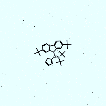 CC(C)(C)c1ccc2c(c1)[CH]([Zr]([C]1=CC=CC1)=[Si](C(C)(C)C)C(C)(C)C)c1cc(C(C)(C)C)ccc1-2